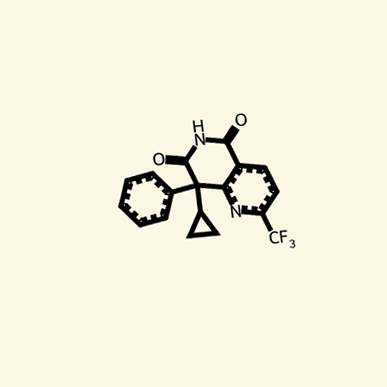 O=C1NC(=O)C(c2ccccc2)(C2CC2)c2nc(C(F)(F)F)ccc21